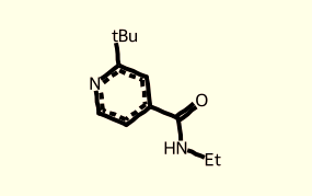 CCNC(=O)c1ccnc(C(C)(C)C)c1